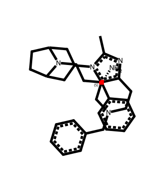 Cc1nc2c(n1C1CC3CCC(C1)N3CC[C@H](N)c1ccccc1)CN(Cc1ccccc1)CC2